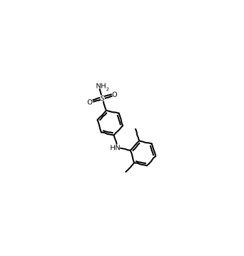 Cc1cccc(C)c1Nc1ccc(S(N)(=O)=O)cc1